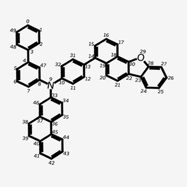 c1ccc(-c2cccc(N(c3ccc(-c4cccc5c4ccc4c6ccccc6oc54)cc3)c3ccc4c(ccc5ccccc54)c3)c2)cc1